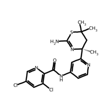 CC1(C)C[C@@](C)(c2cc(NC(=O)c3ncc(Cl)cc3Cl)ccn2)N=C(N)S1